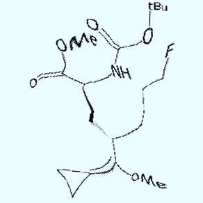 COC(=O)[C@H](C[C@H](CCCF)C(OC)=C1CC1)NC(=O)OC(C)(C)C